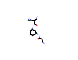 N/C=C(/C(=O)Nc1cccc(NC(=O)CCN)c1)C1CN1